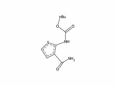 CCCCOC(=O)Nc1sccc1C(N)=O